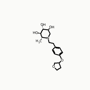 C[C@@H]1[C@@H](O)[C@H](O)[C@@H](O)CN1CCc1ccc(OC2CCOC2)cc1